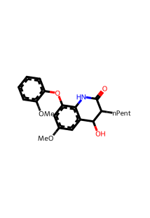 CCCCCC1C(=O)Nc2c(Oc3ccccc3OC)cc(OC)cc2C1O